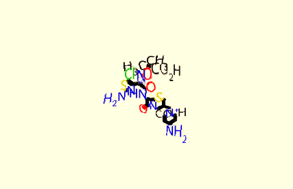 CC(C)(O/N=C(\C(=O)NC1C(=O)N2C(C(=O)O)=C(C[n+]3ccc(N)cc3)CSC12)c1nc(N)sc1Cl)C(=O)O